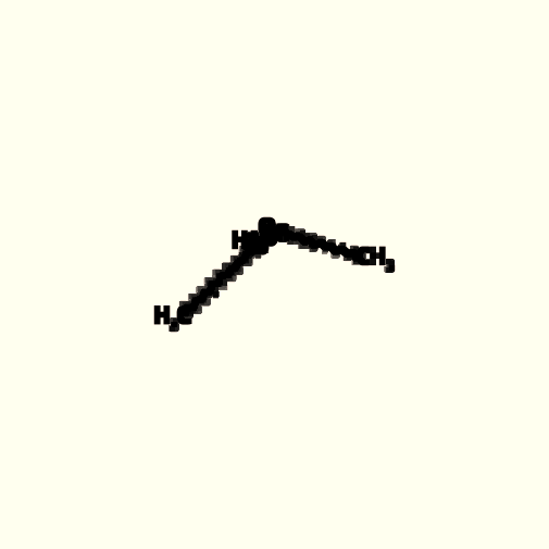 CCCCCCCCCCCCCCCCCC(=O)[O][AlH][O]C(=O)CCCCCCCCCCCCCCCCC